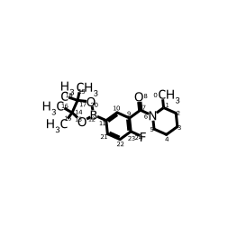 CC1CCCCN1C(=O)c1cc(B2OC(C)(C)C(C)(C)O2)ccc1F